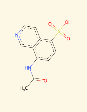 CC(=O)Nc1ccc(S(=O)(=O)O)c2ccncc12